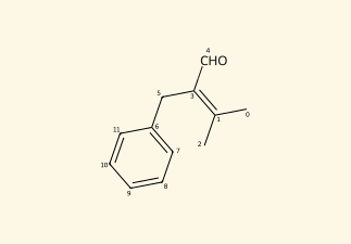 CC(C)=C(C=O)Cc1ccccc1